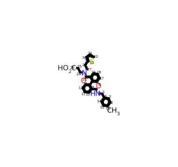 Cc1ccc(CNC(=O)c2ccccc2-c2ccccc2C(=O)N(CCC(=O)O)CCc2cccs2)cc1